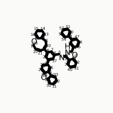 O=C(N/C(=N\Cc1cc(C2=C/Cc3ccccc3OC/C=C\2)cc(-c2ccc3oc4ccccc4c3c2)c1)c1ccccc1)c1cccc(-c2ccccc2)c1